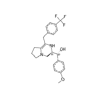 COc1ccc([C@@H](O)[C@H]2CN3CCCC3=C(Cc3ccc(C(F)(F)F)cc3)N2)cc1